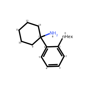 CCCCCCc1ccccc1C1(N)CCCCC1